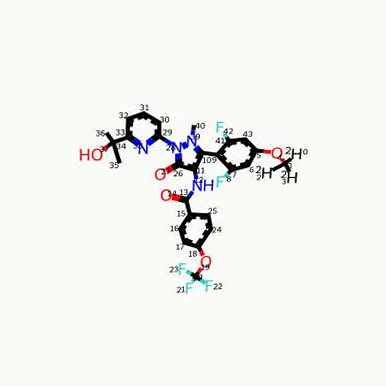 [2H]C([2H])([2H])Oc1cc(F)c(-c2c(NC(=O)c3ccc(OC(F)(F)F)cc3)c(=O)n(-c3cccc(C(C)(C)O)n3)n2C)c(F)c1